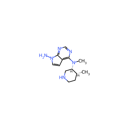 C[C@@H]1CCNC[C@@H]1N(C)c1ncnc2c1ccn2N